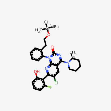 C[C@H]1CCCCN1c1nc(=O)n(-c2ccccc2CCO[Si](C)(C)C(C)(C)C)c2nc(-c3c(O)cccc3F)c(Cl)cc12